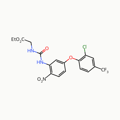 CCOC(=O)CNC(=O)Nc1cc(Oc2ccc(C(F)(F)F)cc2Cl)ccc1[N+](=O)[O-]